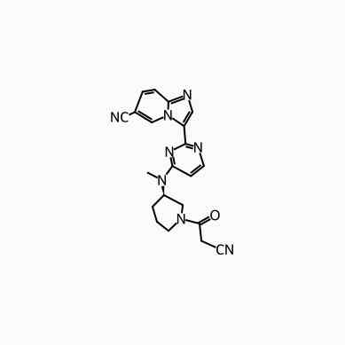 CN(c1ccnc(-c2cnc3ccc(C#N)cn23)n1)[C@@H]1CCCN(C(=O)CC#N)C1